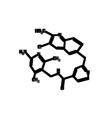 Cc1cc(N)nc(C)c1CNC(=O)c1ccnc(Cc2ccc3nc(C(=O)O)c(Cl)cc3c2)c1